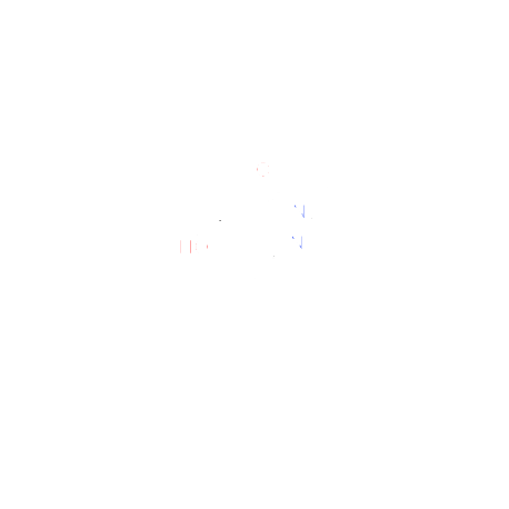 CCCCC1=NN(C)C(=O)/C1=C/O